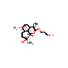 C[C@H]1C(OCCCO)O[C@@H]2O[C@](C)(O)CCC3[C@H](C)CCC1[C@]32O